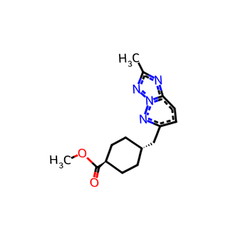 COC(=O)[C@H]1CC[C@H](Cc2ccc3nc(C)nn3n2)CC1